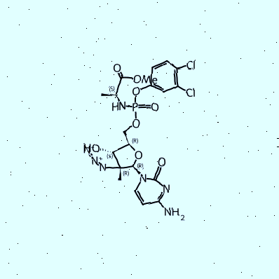 COC(=O)[C@H](C)NP(=O)(OC[C@H]1O[C@@H](n2ccc(N)nc2=O)[C@](C)(N=[N+]=[N-])[C@@H]1O)Oc1ccc(Cl)c(Cl)c1